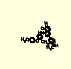 CNc1ncc(-c2cc3cc[nH]c(=O)c3c(Nc3ccc(OC4CCN(C)CC4)c(C)c3)n2)cn1